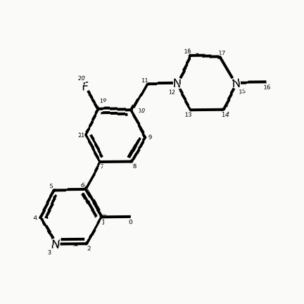 Cc1cnccc1-c1ccc(CN2CCN(C)CC2)c(F)c1